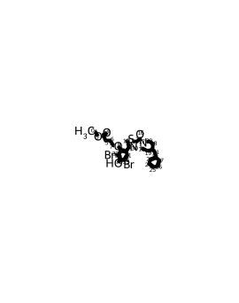 CCOC(=O)CCCOc1c(C2CSC(C(=O)N3CCC(Cc4ccccc4)CC3)=N2)cc(Br)c(O)c1Br